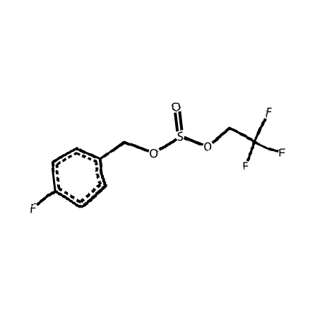 O=S(OCc1ccc(F)cc1)OCC(F)(F)F